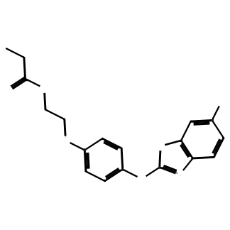 CCC(=O)OCCOc1ccc(Oc2nc3ccc(Cl)cc3o2)cc1